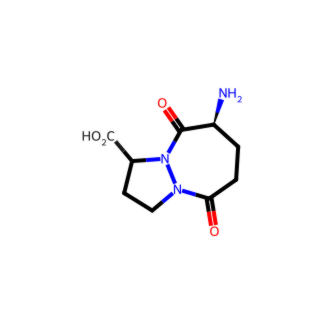 N[C@H]1CCC(=O)N2CCC(C(=O)O)N2C1=O